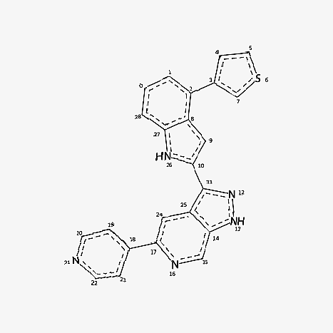 c1cc(-c2ccsc2)c2cc(-c3n[nH]c4cnc(-c5ccncc5)cc34)[nH]c2c1